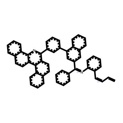 C=C/C=C\c1ccccc1/N=C(/c1ccccc1)c1cc(-c2cccc(-c3nc4c5ccccc5ccc4c4c3ccc3ccccc34)c2)c2ccccc2c1